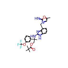 Cc1cn(Cc2cccc3[nH]c(NC(C)(COC(=O)C(C)(C)C)c4cccc(OC(F)(F)F)c4)nc23)c(=N)o1